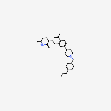 C=C1CCC(CCc2cc(C3CCN(CC4=CC=C(CCC)CC4)CC3)ccc2C(=C)C)C(=C)N1